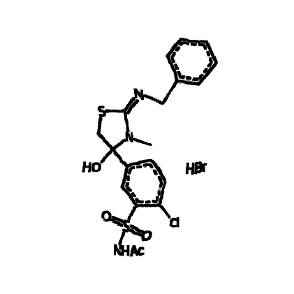 Br.CC(=O)NS(=O)(=O)c1cc(C2(O)CSC(=NCc3ccccc3)N2C)ccc1Cl